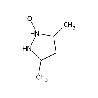 CC1CC(C)[NH+]([O-])N1